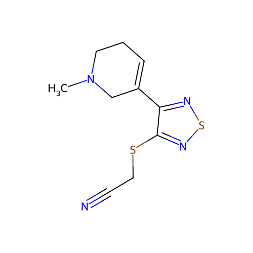 CN1CCC=C(c2nsnc2SCC#N)C1